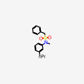 CCCc1cccc(N(C)S(=O)(=O)Cc2ccccc2)c1